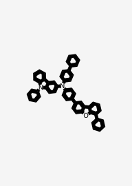 c1ccc(-c2ccc(N(c3ccc(-c4ccc5oc6c(-c7ccccc7)cccc6c5c4)cc3)c3ccc4c(c3)c3ccccc3n4-c3ccccc3)cc2)cc1